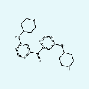 O=C(c1cc(NC2CCNCC2)ncn1)c1cc(NC2CCNCC2)ncn1